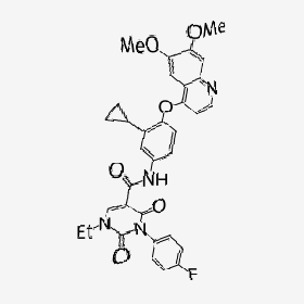 CCn1cc(C(=O)Nc2ccc(Oc3ccnc4cc(OC)c(OC)cc34)c(C3CC3)c2)c(=O)n(-c2ccc(F)cc2)c1=O